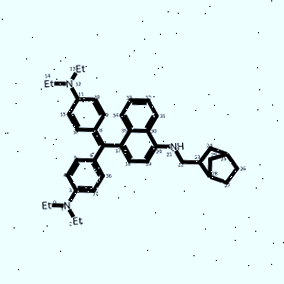 CCN(CC)c1ccc(C(=C2C=CC(N(CC)CC)C=C2)c2ccc(NCC3CC4CCC3C4)c3ccccc23)cc1